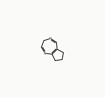 C1=NCC=NC2=C1CCC2